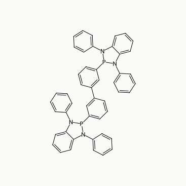 c1ccc(N2c3ccccc3N(c3ccccc3)P2c2cccc(-c3cccc(P4N(c5ccccc5)c5ccccc5N4c4ccccc4)c3)c2)cc1